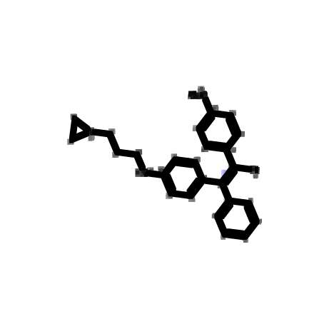 CC/C(=C(\c1ccccc1)c1ccc(NCCCN2CC2)cc1)c1ccc(OC)cc1